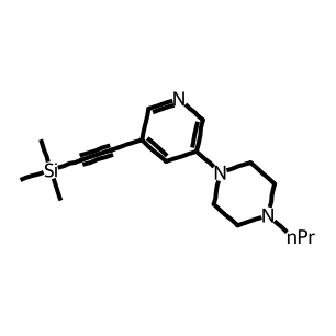 CCCN1CCN(c2cncc(C#C[Si](C)(C)C)c2)CC1